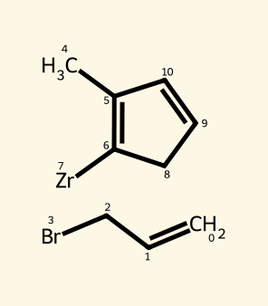 C=CCBr.CC1=[C]([Zr])CC=C1